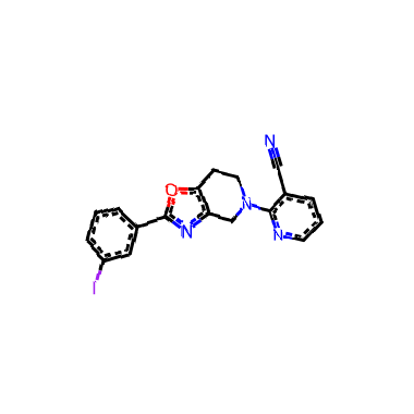 N#Cc1cccnc1N1CCc2oc(-c3cccc(I)c3)nc2C1